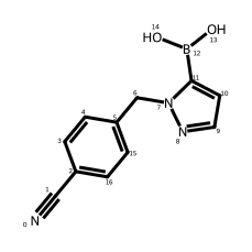 N#Cc1ccc(Cn2nccc2B(O)O)cc1